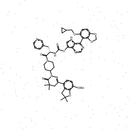 COc1ccc(C2=NN(C3CCN(C(=O)[C@H](Cc4cccnc4)NC(=O)Oc4c[nH]c5c(-c6c(OCC7CC7)ccc7c6OCO7)ncnc45)CC3)C(=O)C(C)(C)C2)c2c1OC(C)(C)C2